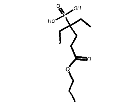 CCCOC(=O)CCC(CC)(CC)P(=O)(O)O